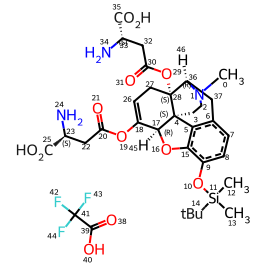 CN1CC[C@]23c4c5ccc(O[Si](C)(C)C(C)(C)C)c4O[C@H]2C(OC(=O)C[C@H](N)C(=O)O)=CC[C@@]3(OC(=O)C[C@H](N)C(=O)O)[C@H]1C5.O=C(O)C(F)(F)F